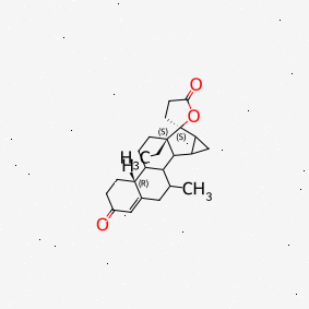 CC[C@]12CCC3C(C(C)CC4=CC(=O)CC[C@@H]43)C1C1CC1[C@@]21CCC(=O)O1